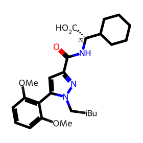 CCC(C)Cn1nc(C(=O)N[C@H](C(=O)O)C2CCCCC2)cc1-c1c(OC)cccc1OC